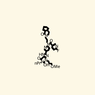 CCCN1C(=O)c2[nH]c(-c3ccc(N(CCCN4CCc5ccccc5C4=O)C(=O)c4ccc(F)nc4)nc3)nc2N(CCCOC)C1O